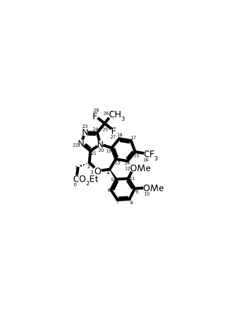 CCOC(=O)C[C@H]1O[C@H](c2cccc(OC)c2OC)c2cc(C(F)(F)F)ccc2-n2c1nnc2C(C)(F)F